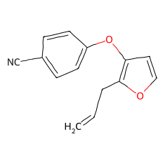 C=CCc1occc1Oc1ccc(C#N)cc1